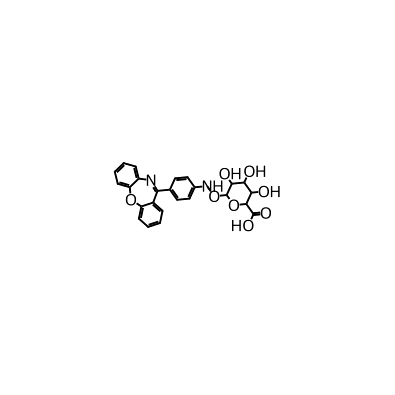 O=C(O)C1OC(ONc2ccc(C3=Nc4ccccc4Oc4ccccc43)cc2)C(O)C(O)C1O